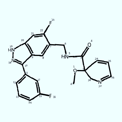 COC1(C(=O)NCc2cc3c(-c4cccc(F)c4)n[nH]c3cc2F)C=CC=NC1